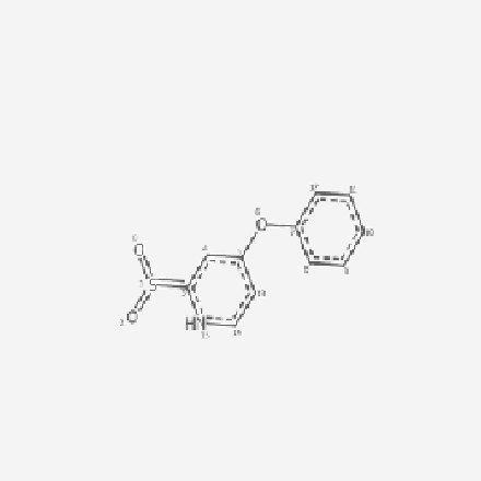 O=S(=O)=c1cc(Oc2ccccc2)cc[nH]1